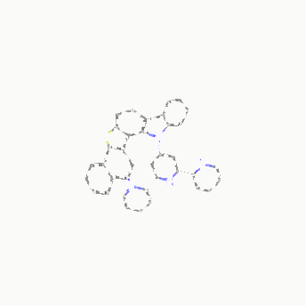 c1ccc(-c2cc(-n3c4ccccc4c4ccc5sc6c7ccccc7ccc6c5c43)cc(-c3ccccn3)n2)nc1